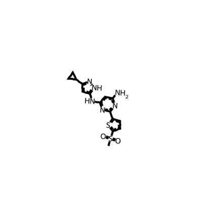 CS(=O)(=O)c1ccc(-c2nc(N)cc(Nc3cc(C4CC4)n[nH]3)n2)s1